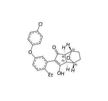 CCc1ccc(Oc2ccc(Cl)cc2)cc1C1=C(O)[C@H]2[C@@H](C1=O)[C@@H]1CC[C@H]2O1